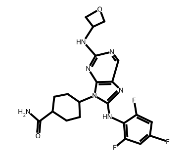 NC(=O)C1CCC(n2c(Nc3c(F)cc(F)cc3F)nc3cnc(NC4COC4)nc32)CC1